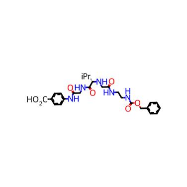 CC(C)[C@H](NCC(=O)NCCNC(=O)OCc1ccccc1)C(=O)NCC(=O)Nc1ccc(C(=O)O)cc1